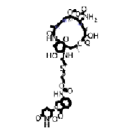 CO[C@H]1/C=C\C=C(/C)C(=O)NC2=CC(O)C(NCCSSCCOC(=O)Nc3cccc4c3CN(C3CCC(=O)NC3=O)C4=O)=C(C[C@@H](C)C[C@H](OC)[C@@H](O)[C@@H](C)/C=C(\C)[C@@H]1OC(N)=O)C2=O